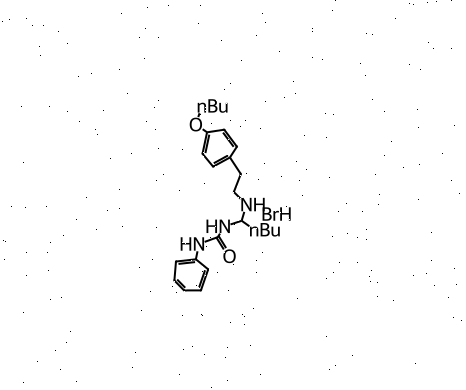 Br.CCCCOc1ccc(CCNC(CCCC)NC(=O)Nc2ccccc2)cc1